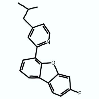 CC(C)Cc1ccnc(-c2cccc3c2oc2cc(F)ccc23)c1